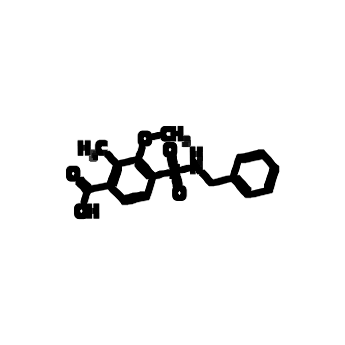 COc1c(S(=O)(=O)NCc2ccccc2)ccc(C(=O)O)c1C